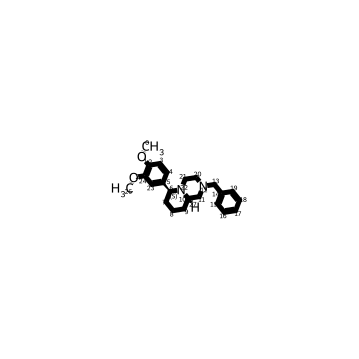 COc1ccc([C@@H]2CCC[C@H]3CN(Cc4ccccc4)CCN32)cc1OC